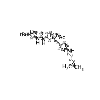 CC(N)=O.CN(C)CCCCNc1ncc(C#Cc2cccc(NC(=O)Nc3cc(C(C)(C)C)on3)c2)cn1